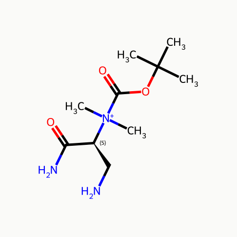 CC(C)(C)OC(=O)[N+](C)(C)[C@@H](CN)C(N)=O